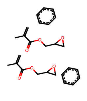 C=C(C)C(=O)OCC1CO1.C=C(C)C(=O)OCC1CO1.c1ccccc1.c1ccccc1